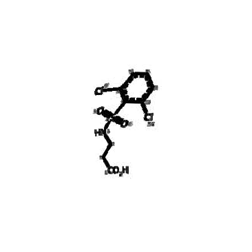 O=C(O)CCNS(=O)(=O)c1c(Cl)cccc1Cl